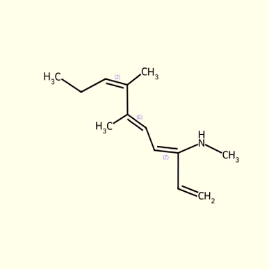 C=C/C(=C/C=C(C)/C(C)=C\CC)NC